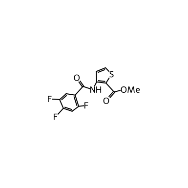 COC(=O)c1sccc1NC(=O)c1cc(F)c(F)cc1F